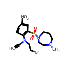 C#CN(CCBr)c1ccc([N+](=O)[O-])cc1S(=O)(=O)N1CCCN(C)CC1